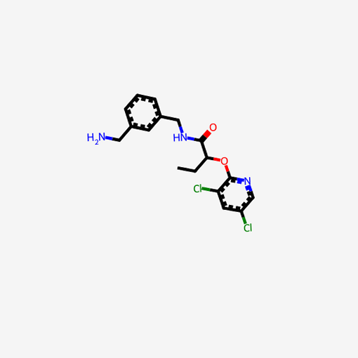 CCC(Oc1ncc(Cl)cc1Cl)C(=O)NCc1cccc(CN)c1